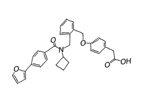 O=C(O)Cc1ccc(OCc2ccccc2CN(C(=O)c2ccc(-c3ccco3)cc2)C2CCC2)cc1